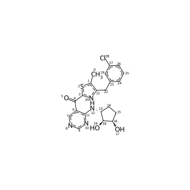 Cc1sc(C(=O)c2cncnc2N[C@@H]2C[CH][C@@H](O)[C@H]2O)nc1Cc1cccc(Cl)c1